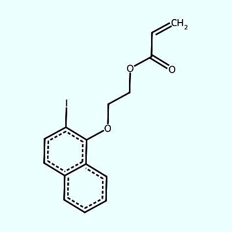 C=CC(=O)OCCOc1c(I)ccc2ccccc12